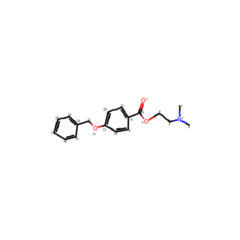 CN(C)CCOC(=O)c1ccc(OCc2ccccc2)cc1